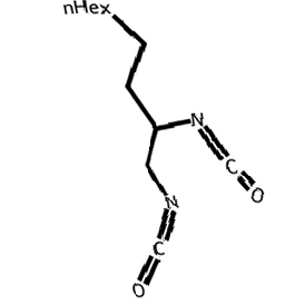 CCCCCCCCC(CN=C=O)N=C=O